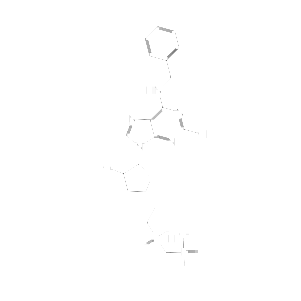 O=P(O)(O)CP(=O)(O)CC[C@H]1O[C@@H](n2cnc3c(NCc4ccccc4)nc(Cl)nc32)C(O)[C@H]1O